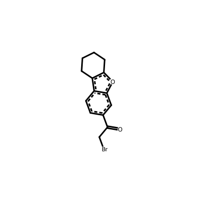 O=C(CBr)c1ccc2c3c(oc2c1)CCCC3